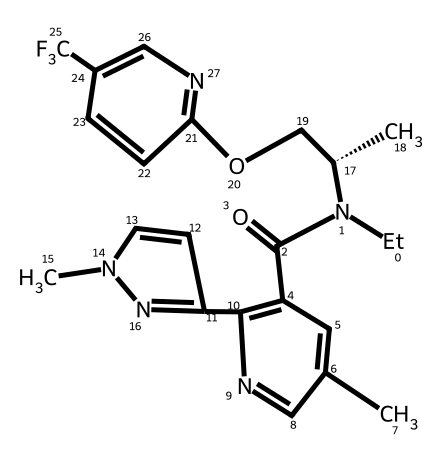 CCN(C(=O)c1cc(C)cnc1-c1ccn(C)n1)[C@@H](C)COc1ccc(C(F)(F)F)cn1